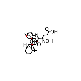 CCCC1CCC[C@@H](N2[C@@H]3CCC[C@H]2C[C@@H](n2c(=O)c(/C(CCC(=O)O)=N/O)nc4ccccc42)C3)C1